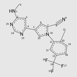 CNc1cc(-c2cc(C#N)n(-c3cc(C(F)(F)F)ccc3C)c2)ncn1